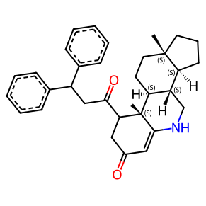 C[C@@]12CCC[C@H]1[C@@H]1CNC3=CC(=O)CC(C(=O)CC(c4ccccc4)c4ccccc4)[C@]3(C)[C@H]1CC2